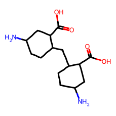 NC1CCC(CC2CCC(N)CC2C(=O)O)C(C(=O)O)C1